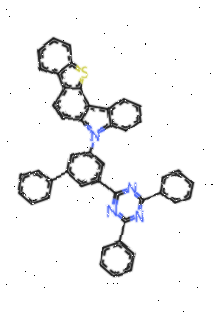 c1ccc(-c2cc(-c3nc(-c4ccccc4)nc(-c4ccccc4)n3)cc(-n3c4ccccc4c4c5sc6ccccc6c5ccc43)c2)cc1